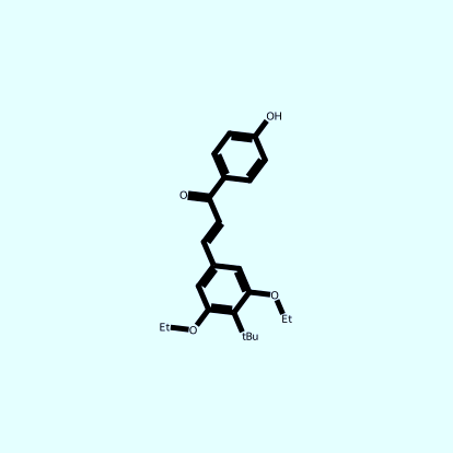 CCOc1cc(C=CC(=O)c2ccc(O)cc2)cc(OCC)c1C(C)(C)C